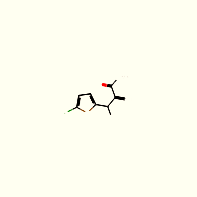 C=C(C(=O)OC)C(C)c1ccc(Br)s1